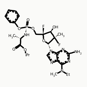 CCN(C)c1nc(N)nc2c1ncn2[C@@H]1O[C@](F)(CO[P@@](=O)(N[C@@H](C)C(=O)OC(C)C)Oc2ccccc2)[C@@H](O)[C@@]1(C)F